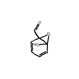 O=CC12C=CC=CC1(O)O2